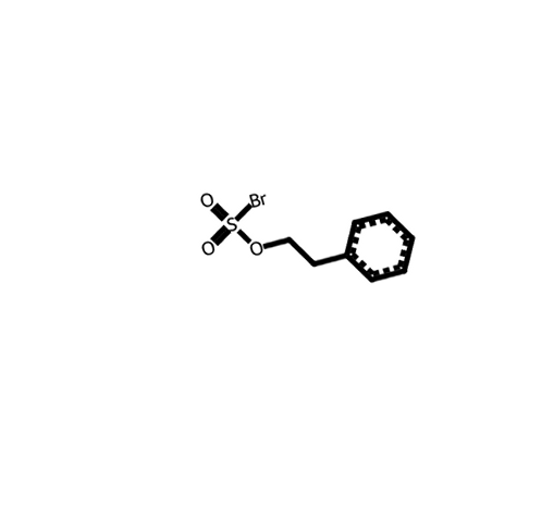 O=S(=O)(Br)OCCc1ccccc1